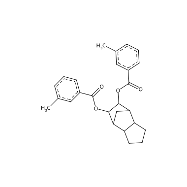 Cc1cccc(C(=O)OC2C3CC(C4CCCC43)C2OC(=O)c2cccc(C)c2)c1